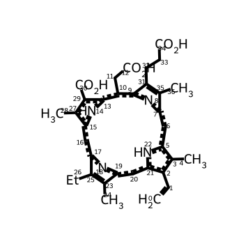 C=Cc1c(C)c2cc3nc(c(CC(=O)O)c4[nH]c(cc5nc(cc1[nH]2)C(C)=C5CC)c(C)c4C(=O)O)C(CCC(=O)O)=C3C